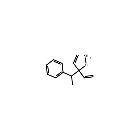 C=CC(C=C)(O[SiH3])C(C)c1ccccc1